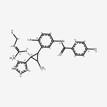 CC1C(c2cc(NC(=O)c3ccc(Cl)cn3)ccc2F)[C@]1(S/C(N)=N\CF)c1c[nH]nn1